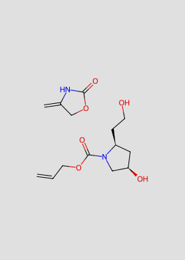 C=C1COC(=O)N1.C=CCOC(=O)N1C[C@H](O)C[C@@H]1CCO